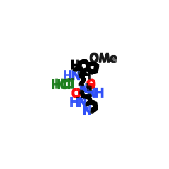 COc1cccc2c1CC[C@H]1CNC(CCn3c(=O)[nH]c4c([nH]c5ncccc54)c3=O)[C@@H]21.Cl.Cl